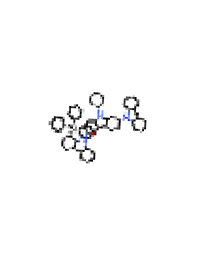 c1ccc(-n2c3ccc(-n4c5ccccc5c5cccc([Si](c6ccccc6)(c6ccccc6)c6ccccc6)c54)cc3c3ccc(-n4c5ccccc5c5ccccc54)cc32)cc1